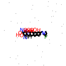 CN(C)[C@@H]1C(O)=C(C(N)=O)C(=O)[C@@]2(O)C(O)=C3C(=O)c4c(cc5ccc(CN6CC[C@@H](F)C6)cc5c4O)C[C@H]3C[C@@H]12